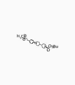 CC(C)(C)OC(=O)N1CCC(C2CCN(c3ccc(CCS(C)(=O)=O)cc3)CC2)CC1